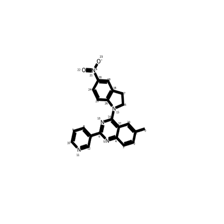 Cc1ccc2nc(-c3cccnc3)nc(N3CCc4cc([N+](=O)[O-])ccc43)c2c1